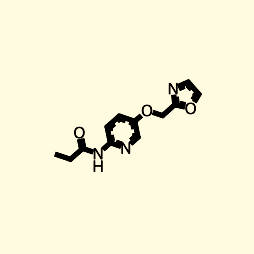 CCC(=O)Nc1ccc(OCc2ncco2)cn1